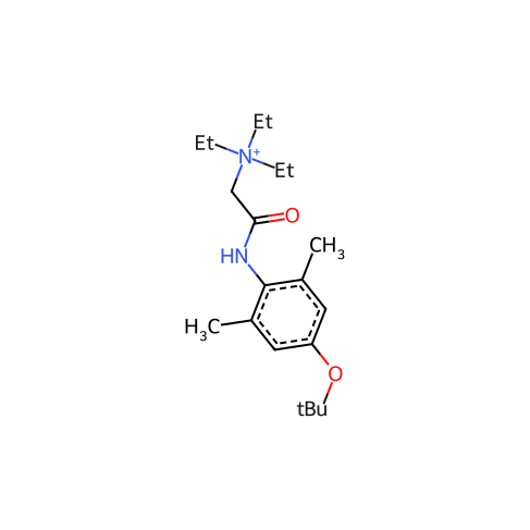 CC[N+](CC)(CC)CC(=O)Nc1c(C)cc(OC(C)(C)C)cc1C